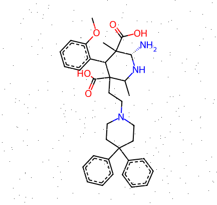 COc1ccccc1C1C(CCN2CCC(c3ccccc3)(c3ccccc3)CC2)(C(=O)O)C(C)N[C@@H](N)C1(C)C(=O)O